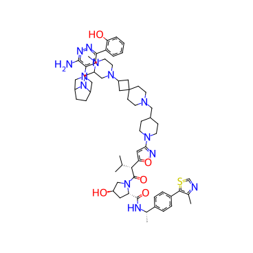 Cc1ncsc1-c1ccc([C@H](C)NC(=O)[C@@H]2C[C@@H](O)CN2C(=O)[C@@H](c2cc(N3CCC(CN4CCC5(CC4)CC(N4CCN(C)C(CN6C7CCC6CN(c6cc(-c8ccccc8O)nnc6N)C7)C4)C5)CC3)no2)C(C)C)cc1